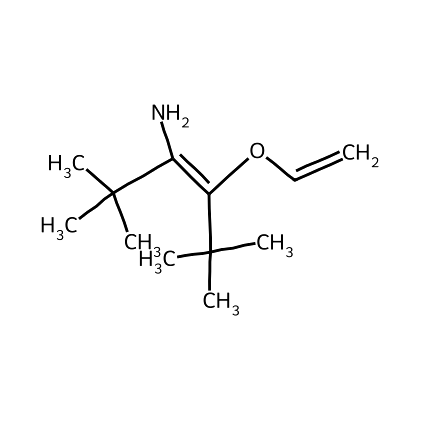 C=CO/C(=C(\N)C(C)(C)C)C(C)(C)C